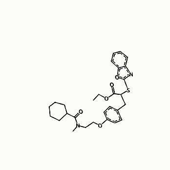 CCOC(=O)C(Cc1ccc(OCCN(C)C(=O)C2CCCCC2)cc1)Sc1nc2ccccc2o1